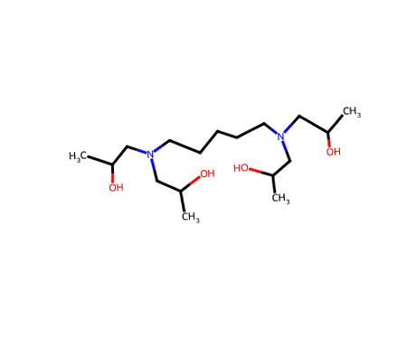 CC(O)CN(CCCCCN(CC(C)O)CC(C)O)CC(C)O